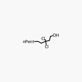 CCCCCCCC(Cl)(Cl)CCO